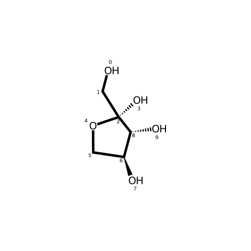 OC[C@]1(O)OC[C@H](O)[C@H]1O